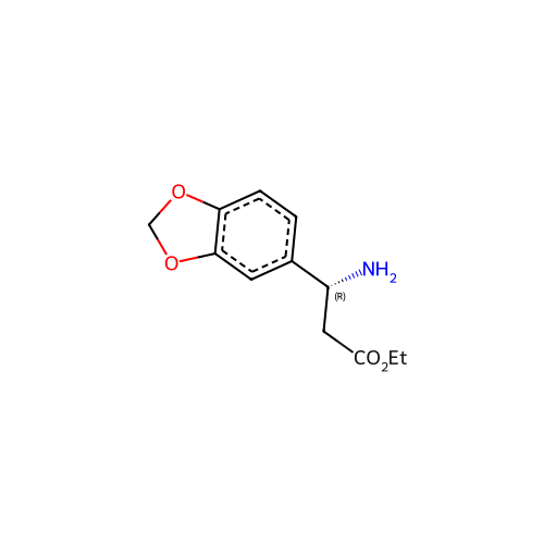 CCOC(=O)C[C@@H](N)c1ccc2c(c1)OCO2